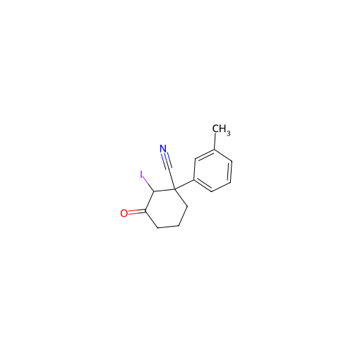 Cc1cccc(C2(C#N)CCCC(=O)C2I)c1